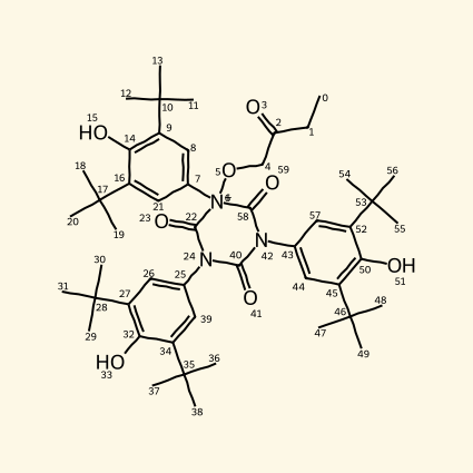 CCC(=O)CO[N+]1(c2cc(C(C)(C)C)c(O)c(C(C)(C)C)c2)C(=O)N(c2cc(C(C)(C)C)c(O)c(C(C)(C)C)c2)C(=O)N(c2cc(C(C)(C)C)c(O)c(C(C)(C)C)c2)C1=O